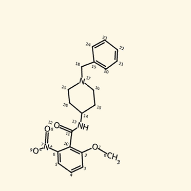 COc1cccc([N+](=O)[O-])c1C(=O)NC1CCN(Cc2ccccc2)CC1